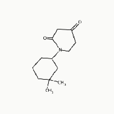 CC1(C)CCCC(N2CCC(=O)CC2=O)C1